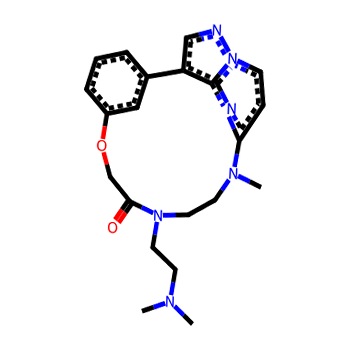 CN(C)CCN1CCN(C)c2ccn3ncc(c3n2)-c2cccc(c2)OCC1=O